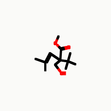 COC(=O)C(C=C(C)C)(CO)C(C)(C)C